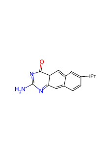 CC(C)c1ccc2c(c1)=CC1C(=O)N=C(N)N=C1C=2